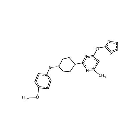 COc1ccc(SN2CCN(c3nc(C)cc(Nc4nccs4)n3)CC2)cc1